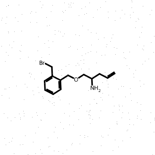 C=CCC(N)COCc1ccccc1CBr